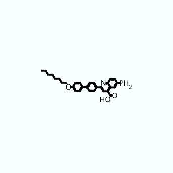 CCCCCCCCOc1ccc(-c2ccc(-c3cc(C(=O)O)c4cc(P)ccc4n3)cc2)cc1